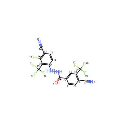 N#Cc1ccc(C(=O)NNc2ccc(C#N)c(F)c2C(F)(F)F)cc1C(F)(F)F